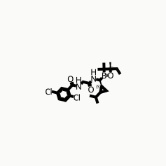 CC[C@]1(C)OB(C(NC(=O)CNC(=O)c2cc(Cl)ccc2Cl)[C@H]2CC2C(C)C)C1(C)C